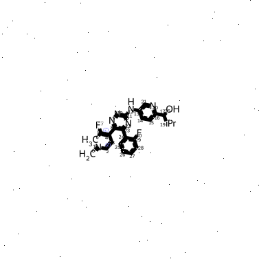 C=N/C=C\C(=C(/C)F)c1nnc(Nc2ccc(C(O)C(C)C)nc2)nc1-c1ccccc1F